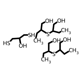 CCC(CO)SC(CC)CO.CCC(CO)SC(CC)CO.OC(CS)CS